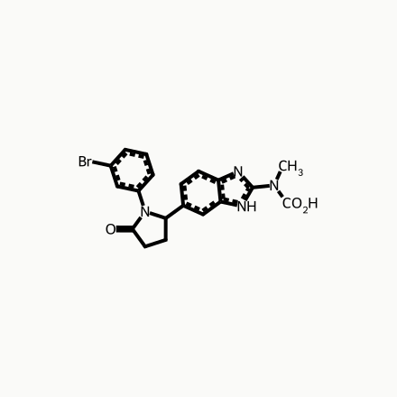 CN(C(=O)O)c1nc2ccc(C3CCC(=O)N3c3cccc(Br)c3)cc2[nH]1